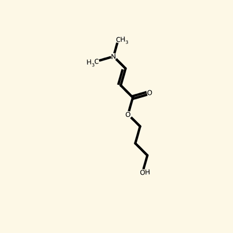 CN(C)C=CC(=O)OCCCO